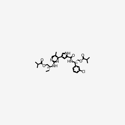 CC[C@H](COC(=O)C(C)C)Nc1ncc(C)c(-c2c[nH]c(C(=O)N[C@H](COC(=O)C(C)C)c3cccc(Cl)c3)c2)n1